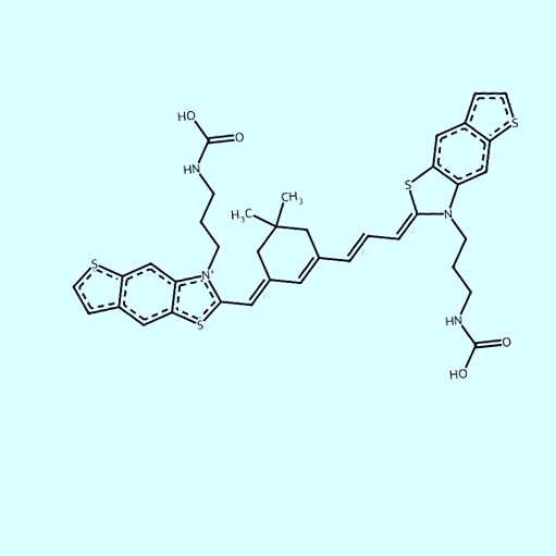 CC1(C)CC(/C=C/C=C2\Sc3cc4ccsc4cc3N2CCCNC(=O)O)=CC(=C/c2sc3cc4ccsc4cc3[n+]2CCCNC(=O)O)/C1